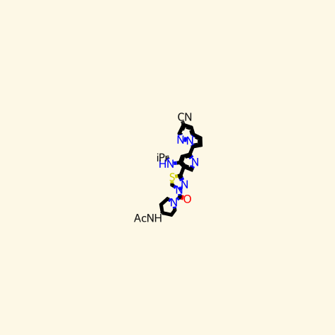 CC(=O)NC1CCN(C(=O)N2CSC(c3cnc(-c4ccc5cc(C#N)cnn45)cc3NC(C)C)=N2)CC1